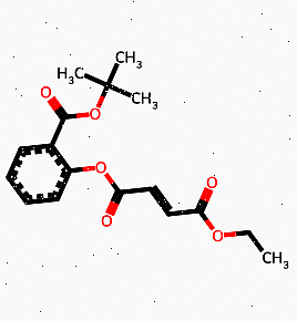 CCOC(=O)/C=C/C(=O)Oc1ccccc1C(=O)OC(C)(C)C